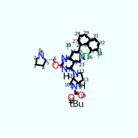 CN1CCC[C@H]1COc1nc(N2CC[C@@H]3[C@H]2CN3C(=O)OC(C)(C)C)c2cnc(-c3cccc4ccc(F)c(Cl)c34)c(F)c2n1